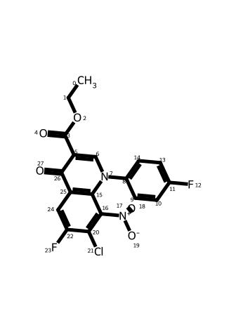 CCOC(=O)c1cn(-c2ccc(F)cc2)c2c([N+](=O)[O-])c(Cl)c(F)cc2c1=O